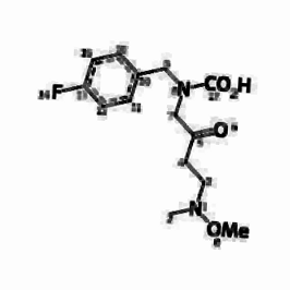 CON(C)CCC(=O)CN(Cc1ccc(F)cc1)C(=O)O